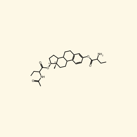 CCC(N)C(=O)Oc1ccc2c(c1)CCC1C2CC[C@@]2(C)C1CC[C@@H]2OC(=O)C(CC)NC(C)=O